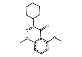 COc1cccc(OC)c1C(=O)[P](=O)C1CCCCC1